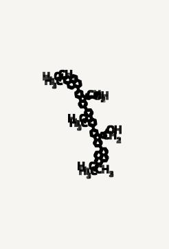 C=CC1(CCCO)c2cc(-c3ccc4c(c3)C(C)(C)c3cc(-c5ccc6c(c5)C(C=C)(CCCO)c5cc(-c7ccc8ccc9cc(C(C)(C)C)cc%10ccc7c8c9%10)ccc5-6)ccc3-4)ccc2-c2ccc(-c3ccc4ccc5cc(C(C)(C)C)cc6ccc3c4c56)cc21